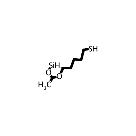 CC(O[SiH3])OCCCCCS